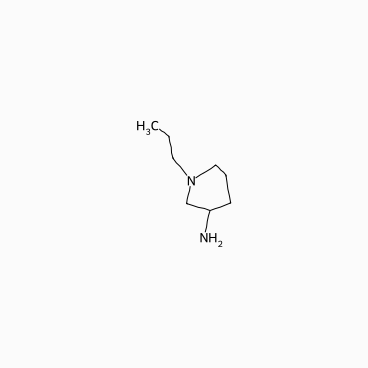 CCCN1CCCC(N)C1